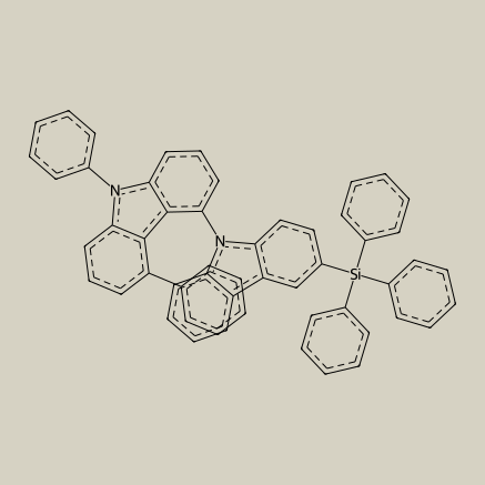 c1ccc(-c2cccc3c2c2c(-n4c5ccccc5c5cc([Si](c6ccccc6)(c6ccccc6)c6ccccc6)ccc54)cccc2n3-c2ccccc2)cc1